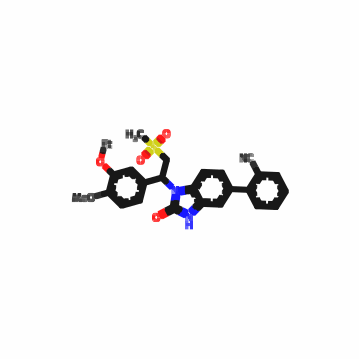 CCOc1cc(C(CS(C)(=O)=O)n2c(=O)[nH]c3cc(-c4ccccc4C#N)ccc32)ccc1OC